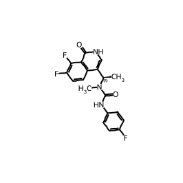 C[C@H](c1c[nH]c(=O)c2c(F)c(F)ccc12)N(C)C(=O)Nc1ccc(F)cc1